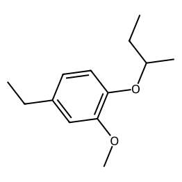 CCc1ccc(OC(C)CC)c(OC)c1